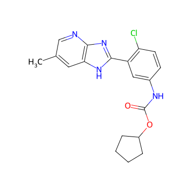 Cc1cnc2nc(-c3cc(NC(=O)OC4CCCC4)ccc3Cl)[nH]c2c1